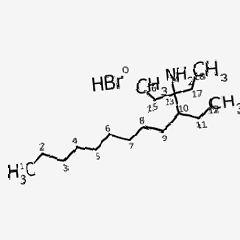 Br.CCCCCCCCCC(CC)C(N)(CC)CC